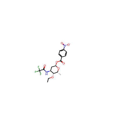 CCO[C@@H]1[C@@H](NC(=O)C(F)(F)F)C[C@@H](OC(=O)c2ccc([N+](=O)[O-])cc2)O[C@@H]1C